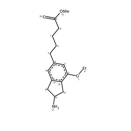 CCOc1cc(CCCCC(=O)OC)cc2c1CC(N)C2